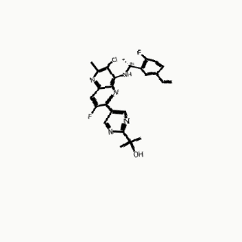 C=Cc1ccc(F)c([C@@H](C)Nc2c(Cl)c(C)nc3cc(F)c(-c4cnc(C(C)(C)O)nc4)nc23)c1